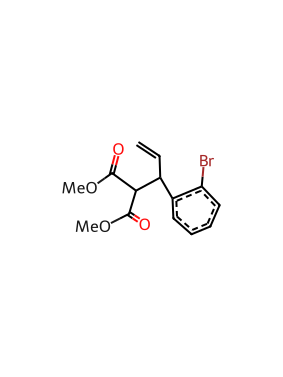 C=CC(c1ccccc1Br)C(C(=O)OC)C(=O)OC